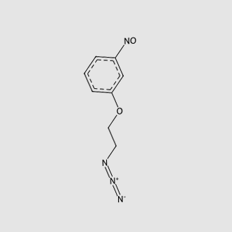 [N-]=[N+]=NCCOc1cccc(N=O)c1